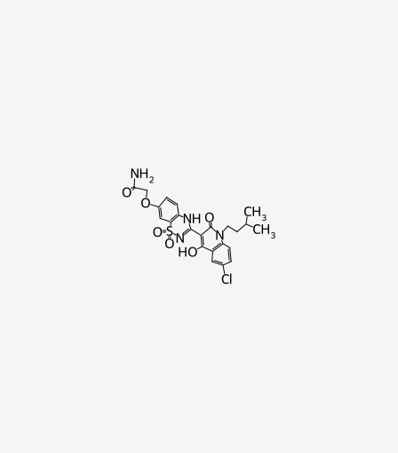 CC(C)CCn1c(=O)c(C2=NS(=O)(=O)c3cc(OCC(N)=O)ccc3N2)c(O)c2cc(Cl)ccc21